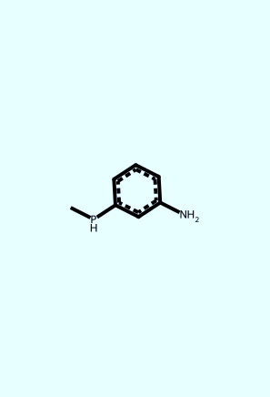 CPc1cccc(N)c1